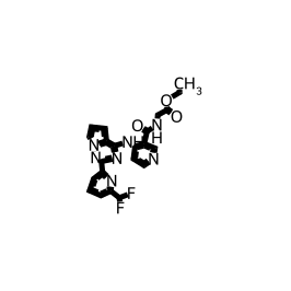 CCOC(=O)CNC(=O)c1cnccc1Nc1nc(-c2cccc(C(F)F)n2)nn2cccc12